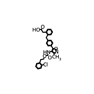 Cc1noc(-c2ccc(Cc3ccccc3CC(=O)O)cc2)c1NC(=O)OCCc1ccccc1Cl